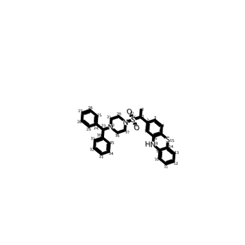 CC(c1ccc2c(c1)Nc1ccccc1S2)S(=O)(=O)N1CCN(C(c2ccccc2)c2ccccc2)CC1